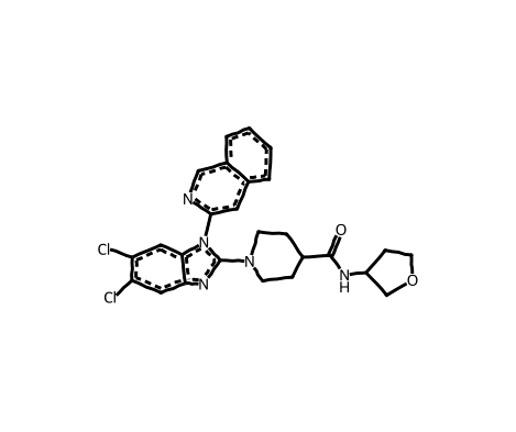 O=C(NC1CCOC1)C1CCN(c2nc3cc(Cl)c(Cl)cc3n2-c2cc3ccccc3cn2)CC1